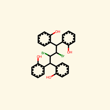 Oc1ccccc1C(c1ccccc1O)C(Br)C(Br)C(c1ccccc1O)c1ccccc1O